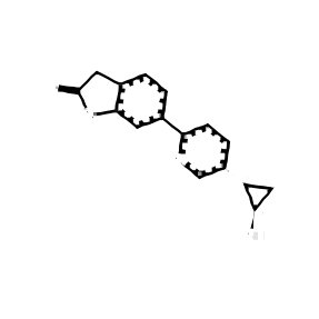 Cl.N[C@@H]1C[C@H]1c1ccc(-c2ccc3c(c2)NC(=O)C3)nc1